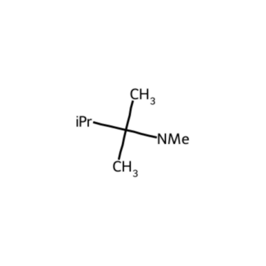 [CH2]NC(C)(C)C(C)C